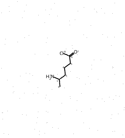 CC(N)CCCC(=O)Cl